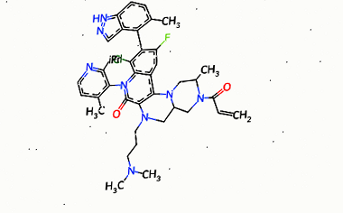 C=CC(=O)N1CC2CN(CCCN(C)C)c3c(c4cc(F)c(-c5c(C)ccc6[nH]ncc56)c(Cl)c4n(-c4c(C)ccnc4C(C)C)c3=O)N2CC1C